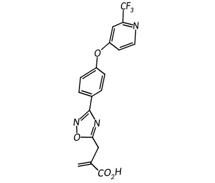 C=C(Cc1nc(-c2ccc(Oc3ccnc(C(F)(F)F)c3)cc2)no1)C(=O)O